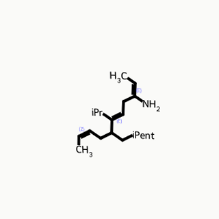 C/C=C\CC(CC(C)CCC)/C(=C/C/C(N)=C\C)C(C)C